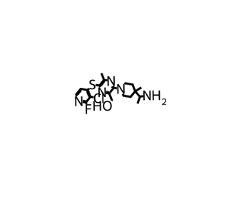 Cc1nc(N2CCC(C)(C(C)N)CC2)c(CO)nc1Sc1ccnc(F)c1Cl